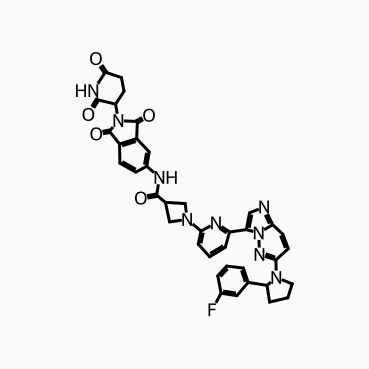 O=C1CCC(N2C(=O)c3ccc(NC(=O)C4CN(c5cccc(-c6cnc7ccc(N8CCCC8c8cccc(F)c8)nn67)n5)C4)cc3C2=O)C(=O)N1